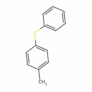 Cc1ccc(Sc2cc[c]cc2)cc1